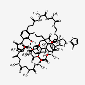 C[C@H](NC(=O)CCc1ccc(N2C(=O)C=CC2=O)c(F)c1OCCCC(=O)N(C)CC(=O)N(C)CC(=O)N(C)CC(=O)N(C)CC(=O)N(C)CC(=O)N(C)CC(=O)N(C)CC(=O)N(C)CC(=O)N(C)CC(=O)N(C)CC(=O)O)C(=O)N[C@@H](C)C(=O)NCOCC(=O)[C@@]12O[C@H](c3sccc3F)O[C@@H]1C[C@H]1[C@@H]3CCC4=CC(=O)C=C[C@]4(C)[C@H]3[C@@H](O)C[C@@]12C